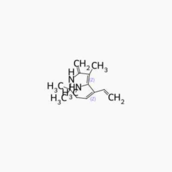 C=CC1=C/CC(C)(C)NC(=C)\C(C)=C\1NC